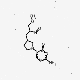 COCC(CC1CCN(n2ccc(N)nc2=O)C1)N=O